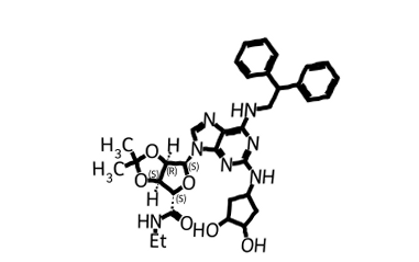 CCNC(=O)[C@H]1O[C@H](n2cnc3c(NCC(c4ccccc4)c4ccccc4)nc(NC4CC(O)C(O)C4)nc32)[C@@H]2OC(C)(C)O[C@@H]21